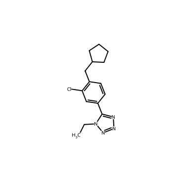 CCn1nnnc1-c1ccc(CC2CCCC2)c(Cl)c1